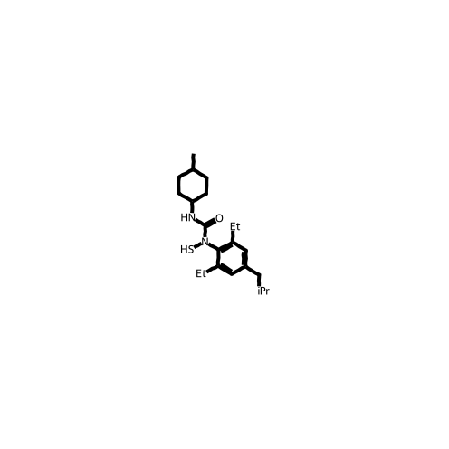 CCc1cc(CC(C)C)cc(CC)c1N(S)C(=O)NC1CCC(C)CC1